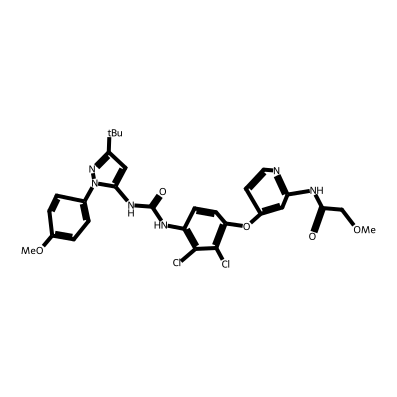 COCC(=O)Nc1cc(Oc2ccc(NC(=O)Nc3cc(C(C)(C)C)nn3-c3ccc(OC)cc3)c(Cl)c2Cl)ccn1